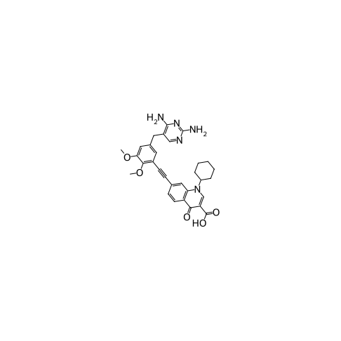 COc1cc(Cc2cnc(N)nc2N)cc(C#Cc2ccc3c(=O)c(C(=O)O)cn(C4CCCCC4)c3c2)c1OC